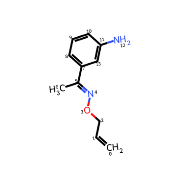 C=CCON=C(C)c1cccc(N)c1